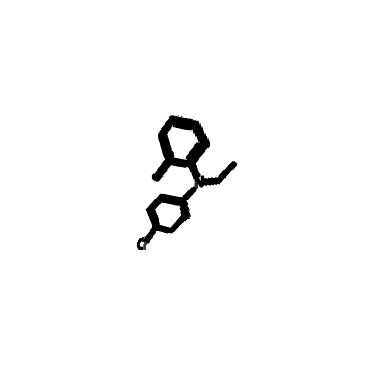 CCN(C1=CC=C(Cl)CC1)c1ccccc1C